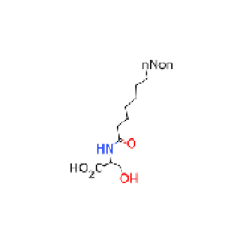 CCCCCCCCCCCCCCCC(=O)N[C@@H](CO)C(=O)O